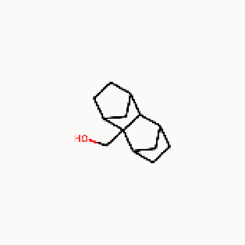 OCC12C3CCC(C3)C1C1CCC2C1